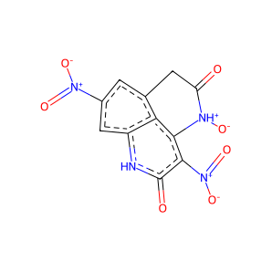 O=C1Cc2cc([N+](=O)[O-])cc3[nH]c(=O)c([N+](=O)[O-])c(c23)[NH+]1[O-]